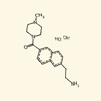 CN1CCN(C(=O)c2ccc3cc(CCN)ccc3c2)CC1.Cl.Cl